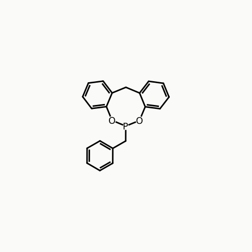 c1ccc(CP2Oc3ccccc3Cc3ccccc3O2)cc1